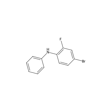 Fc1cc(Br)ccc1Nc1ccccc1